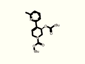 Cc1cccc(C2=CCN(C(=O)OC(C)(C)C)C[C@@H]2OC(=O)C(C)(C)C)n1